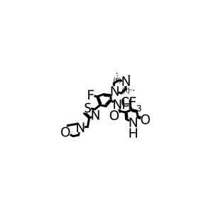 C[C@@H]1CN(c2cc(F)c(-c3nc(CN4CCOCC4)cs3)cc2NC(=O)c2c[nH]c(=O)cc2C(F)(F)F)C[C@H](C)N1C